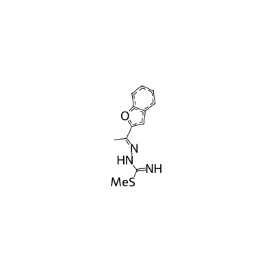 CSC(=N)NN=C(C)c1cc2ccccc2o1